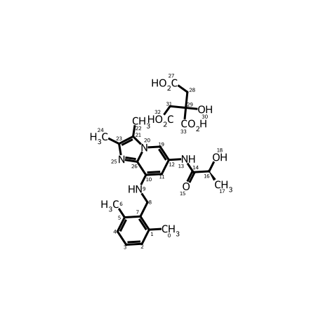 Cc1cccc(C)c1CNc1cc(NC(=O)[C@H](C)O)cn2c(C)c(C)nc12.O=C(O)CC(O)(CC(=O)O)C(=O)O